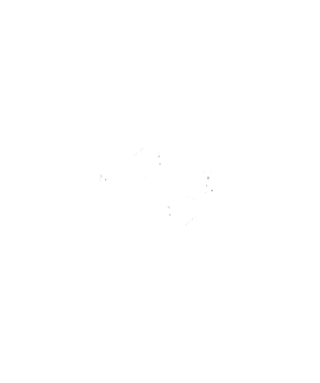 NCc1cccc(Oc2cc(Cl)ccc2[N+](=O)[O-])c1